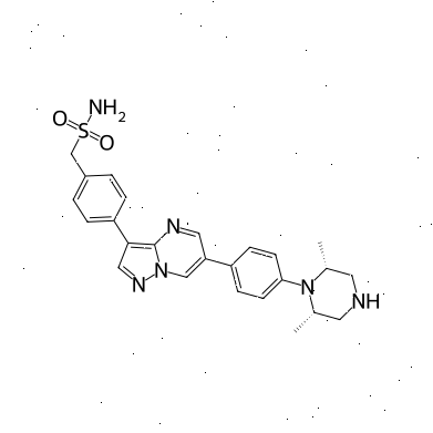 C[C@@H]1CNC[C@H](C)N1c1ccc(-c2cnc3c(-c4ccc(CS(N)(=O)=O)cc4)cnn3c2)cc1